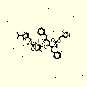 CC(C)c1nc(CN(C)C(=O)N[C@H](CN[C@@H](Cc2ccccc2)C[C@H](O)[C@H](Cc2ccccc2)NC(=O)OCc2cncs2)C(C)C)cs1